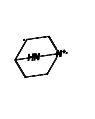 [CH]1C[N+]2CCC1CN2